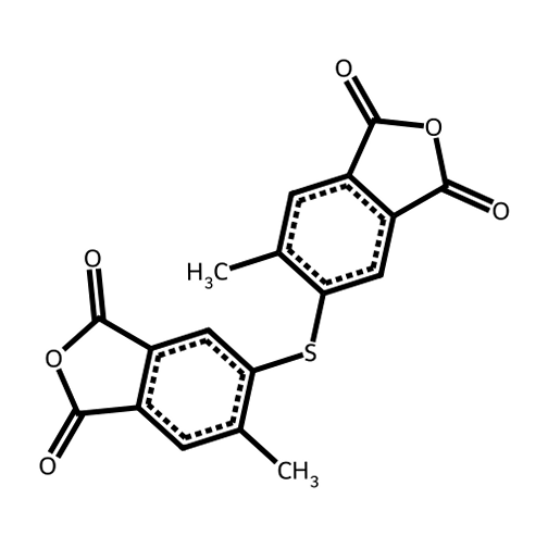 Cc1cc2c(cc1Sc1cc3c(cc1C)C(=O)OC3=O)C(=O)OC2=O